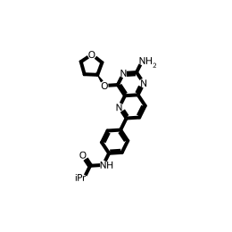 CC(C)C(=O)Nc1ccc(-c2ccc3nc(N)nc(O[C@H]4CCOC4)c3n2)cc1